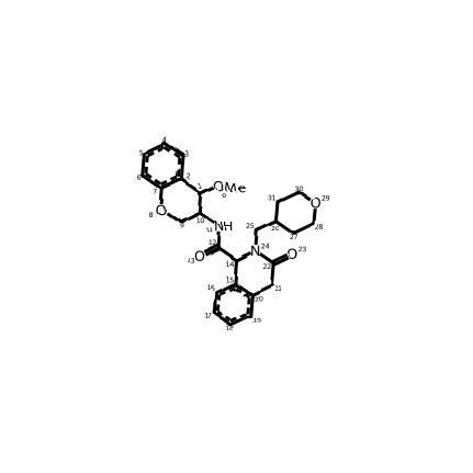 COC1c2ccccc2OCC1NC(=O)C1c2ccccc2CC(=O)N1CC1CCOCC1